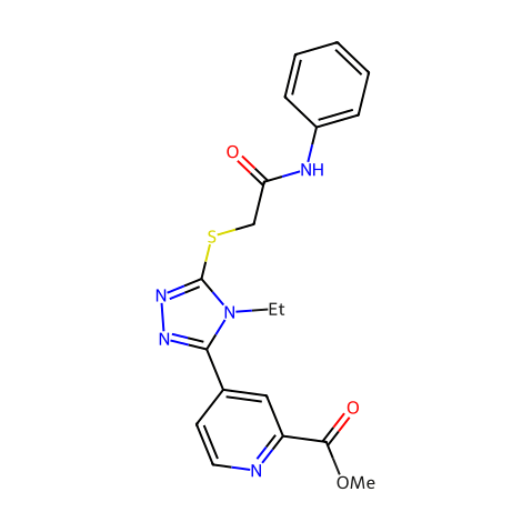 CCn1c(SCC(=O)Nc2ccccc2)nnc1-c1ccnc(C(=O)OC)c1